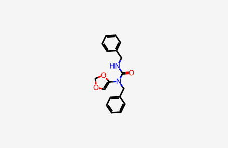 O=C(NCc1ccccc1)N(Cc1ccccc1)C1=COCO1